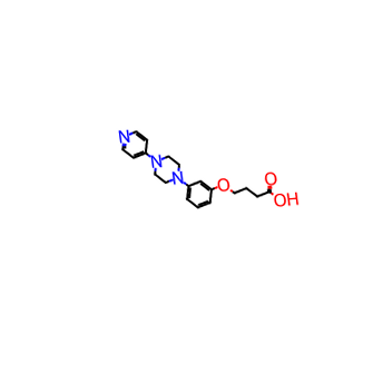 O=C(O)CCCOc1cccc(N2CCN(c3ccncc3)CC2)c1